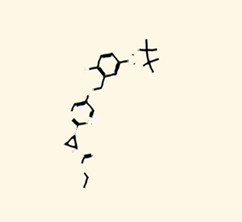 C=C(/N=C\C(=C/C)OCc1cc(B2OC(C)(C)C(C)(C)O2)ccc1F)[C@@H]1C[C@H]1C(=O)OCC